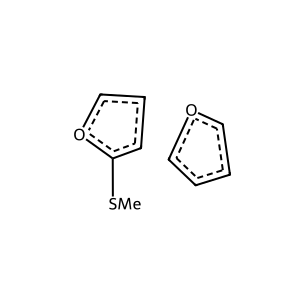 CSc1ccco1.c1ccoc1